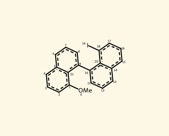 COc1cccc2cccc(-c3cccc4cccc(I)c34)c12